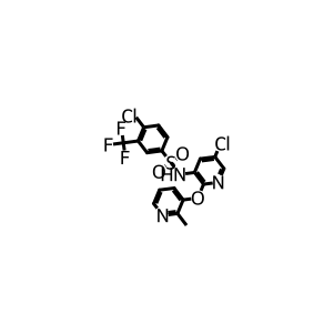 Cc1ncccc1Oc1ncc(Cl)cc1NS(=O)(=O)c1ccc(Cl)c(C(F)(F)F)c1